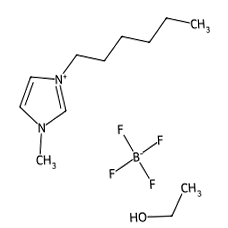 CCCCCC[n+]1ccn(C)c1.CCO.F[B-](F)(F)F